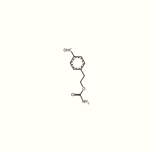 NC(=O)OCCc1ccc(C=O)cc1